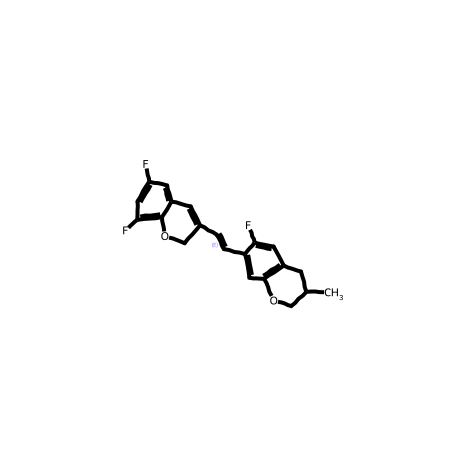 CC1COc2cc(/C=C/C3=Cc4cc(F)cc(F)c4OC3)c(F)cc2C1